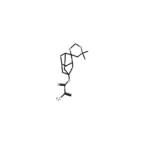 C=C(C(=O)OC12CC3CC(C1)C1(CC(C)(C)OCO1)C(C3)C2)C(F)(F)F